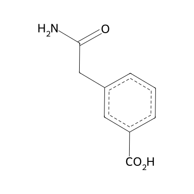 NC(=O)Cc1cccc(C(=O)O)c1